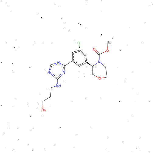 CC(C)(C)OC(=O)N1CCOC[C@H]1c1cc(Cl)cc(-c2ncnc(NCCCO)n2)c1